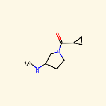 CNC1CCN(C(=O)C2CC2)C1